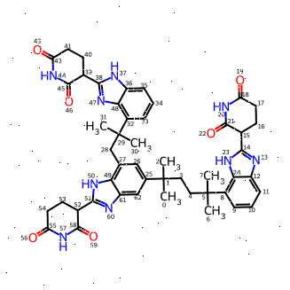 CC(C)(CCC(C)(C)c1cccc2nc(C3CCC(=O)NC3=O)[nH]c12)c1cc(CC(C)(C)c2cccc3[nH]c(C4CCC(=O)NC4=O)nc23)c2[nH]c(C3CCC(=O)NC3=O)nc2c1